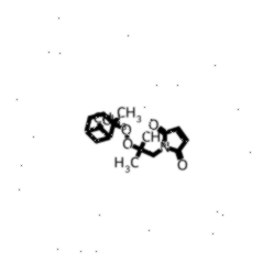 CC(C)(CN1C(=O)C=CC1=O)OOC1(C)CCC2CC1C2(C)C